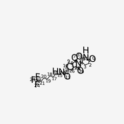 O=C1CCC(N2C(=O)c3ccc(C(=O)NCCCCCCCC(F)(F)F)cc3C2=O)C(=O)N1